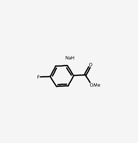 COC(=O)c1ccc(F)cc1.[NaH]